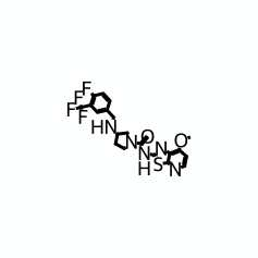 COc1ccnc2sc(NC(=O)N3CCC(NCc4ccc(F)c(C(F)(F)F)c4)C3)nc12